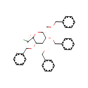 CCOC(=O)C(F)[C@]1(O)O[C@H](COCc2ccccc2)[C@@H](OCc2ccccc2)[C@H](OCc2ccccc2)[C@H]1OCc1ccccc1